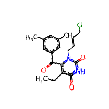 CCc1c(C(=O)c2cc(C)cc(C)c2)n(C/C=C/CCl)c(=O)[nH]c1=O